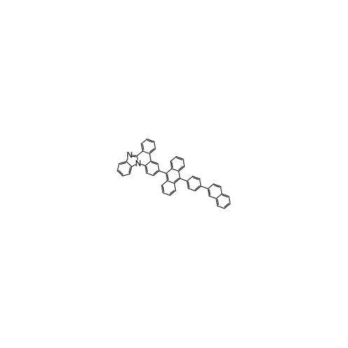 c1ccc2cc(-c3ccc(-c4c5ccccc5c(-c5ccc6c(c5)c5ccccc5c5nc7ccccc7n65)c5ccccc45)cc3)ccc2c1